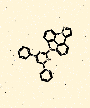 C1=C(c2ccccc2)N=C(n2c3cccc4c3c3c2cccc3n2nccc42)NC1c1ccccc1